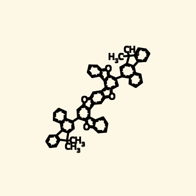 CC1(C)c2ccccc2-c2c1cc(-c1cc3oc4cc5c(cc4c3c3c1oc1ccccc13)oc1cc(-c3cc4c(c6ccccc36)-c3ccccc3C4(C)C)c3oc4ccccc4c3c15)c1ccccc21